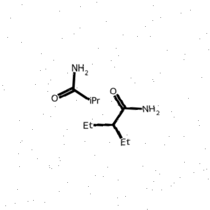 CC(C)C(N)=O.CCC(CC)C(N)=O